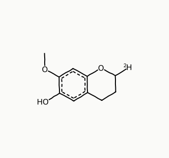 [2H]C1CCc2cc(O)c(OC)cc2O1